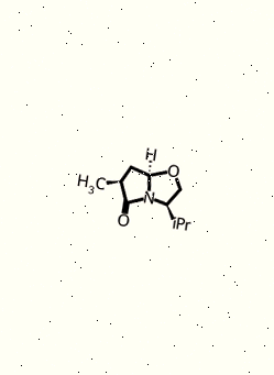 CC(C)[C@@H]1CO[C@@H]2C[C@H](C)C(=O)N21